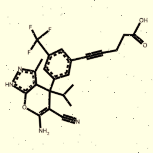 Cc1n[nH]c2c1C(c1cc(C#CCCC(=O)O)cc(C(F)(F)F)c1)(C(C)C)C(C#N)=C(N)O2